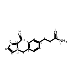 NC(=O)CCc1ccc(Cn2[c]cnc2C=O)cc1